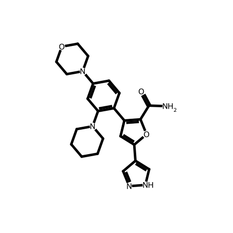 NC(=O)c1oc(-c2cn[nH]c2)cc1-c1ccc(N2CCOCC2)cc1N1CCCCC1